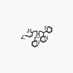 C=C=C/C=C\C(CN(CC(c1ccccn1)c1ccccn1)OCc1ccccn1)=N/C